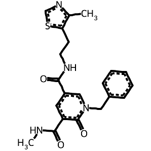 CNC(=O)c1cc(C(=O)NCCc2scnc2C)cn(Cc2ccccc2)c1=O